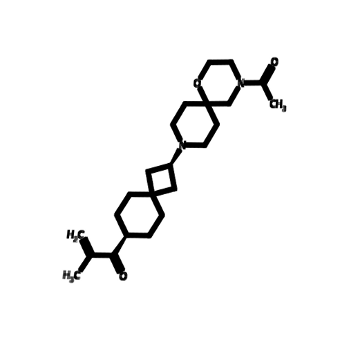 C=C(C)C(=O)[C@H]1CCC2(CC1)C[C@H](N1CCC3(CC1)CN(C(C)=O)CCO3)C2